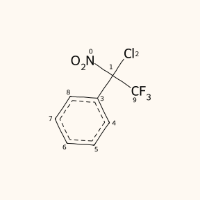 O=[N+]([O-])C(Cl)(c1ccccc1)C(F)(F)F